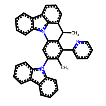 Cc1c(-n2c3ccccc3c3ccccc32)cc2c(c1-c1ccccn1)C(C)c1cccc3c4ccccc4n-2c13